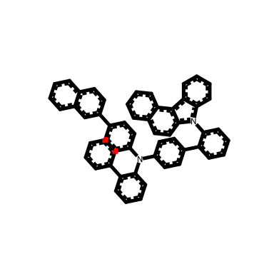 c1ccc(-c2ccccc2N(c2ccc(-c3ccc4ccccc4c3)cc2)c2ccc(-c3ccccc3-n3c4ccccc4c4c5ccccc5ccc43)cc2)cc1